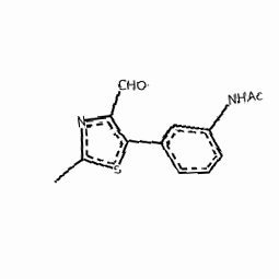 CC(=O)Nc1cccc(-c2sc(C)nc2[C]=O)c1